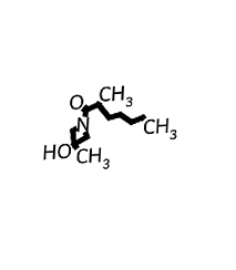 CCCCCC(C)C(=O)N1CC(C)(O)C1